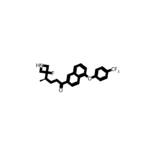 C[C@H](CCC(=O)c1ccc2c(Oc3ccc(C(F)(F)F)cc3)cccc2c1)C1(F)CNC1